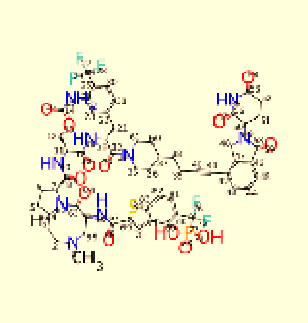 CN1CC[C@H]2CC[C@@H](C(=O)N[C@@H](COC(N)=O)C(=O)N[C@@H](Cc3ccc(C(F)(F)F)cc3)C(=O)N3CCC(CCC#Cc4cccc5c4CN(C4CCC(=O)NC4=O)C5=O)CC3)N2C(=O)[C@@H](NC(=O)c2cc3cc(C(F)(F)P(=O)(O)O)ccc3s2)C1